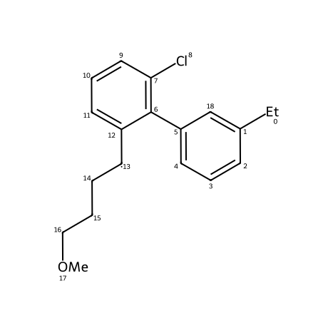 CCc1cccc(-c2c(Cl)cccc2[CH]CCCOC)c1